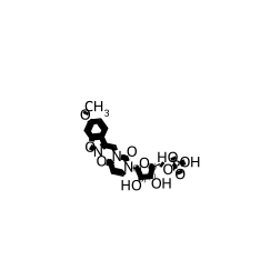 COc1ccc2c(Cn3c(=O)ccn([C@@H]4O[C@H](COP(=O)(O)O)[C@H](O)[C@@H]4O)c3=O)noc2c1